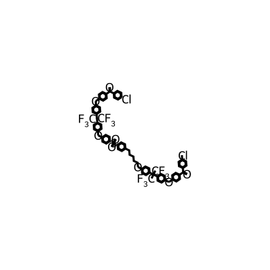 O=C(c1ccc(Cl)cc1)c1ccc(Oc2ccc(C(c3ccc(OCCCCCc4ccc(S(=O)(=O)c5ccc(Oc6ccc(C(c7ccc(Oc8ccc(C(=O)c9ccc(Cl)cc9)cc8)cc7)(C(F)(F)F)C(F)(F)F)cc6)cc5)cc4)cc3)(C(F)(F)F)C(F)(F)F)cc2)cc1